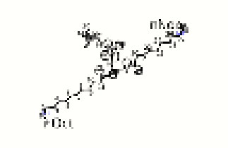 CCCCCCCC/C=C\CCCCCCCCCC(=O)O[C@H](COC(=O)CCCCCCC/C=C\CCCCCCCCC)COP(=O)([O-])OCC[N+](C)(C)C